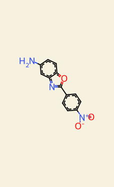 Nc1ccc2oc(-c3ccc([N+](=O)[O-])cc3)nc2c1